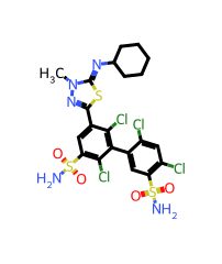 Cn1nc(-c2cc(S(N)(=O)=O)c(Cl)c(-c3cc(S(N)(=O)=O)c(Cl)cc3Cl)c2Cl)sc1=NC1CCCCC1